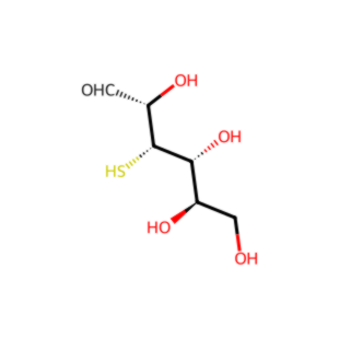 O=C[C@H](O)[C@@H](S)[C@H](O)[C@H](O)CO